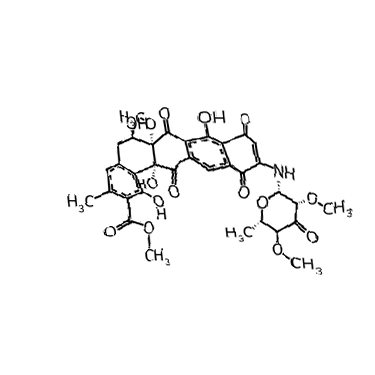 COC(=O)c1c(C)cc2c(c1O)[C@]1(O)C(=O)c3cc4c(c(O)c3C(=O)[C@]1(OC)[C@H](O)C2)C(=O)C=C(N[C@H]1O[C@@H](C)[C@H](OC)C(=O)[C@H]1OC)C4=O